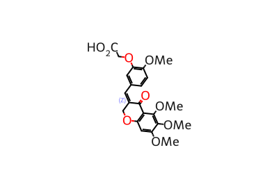 COc1ccc(/C=C2/COc3cc(OC)c(OC)c(OC)c3C2=O)cc1OCC(=O)O